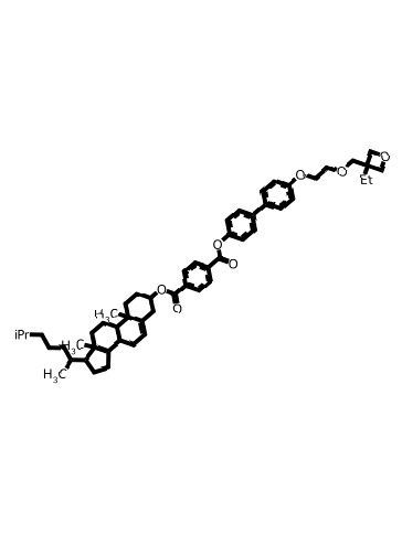 CCC1(COCCOc2ccc(-c3ccc(OC(=O)c4ccc(C(=O)OC5CCC6(C)C(=CCC7C6CCC6(C)C(C(C)CCCC(C)C)CCC76)C5)cc4)cc3)cc2)COC1